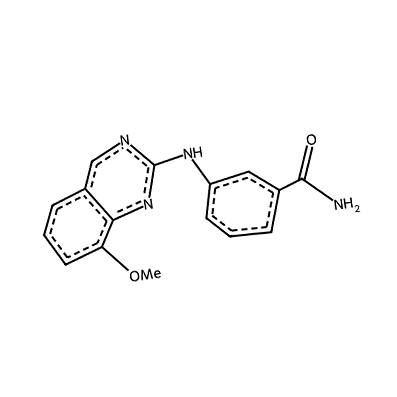 COc1cccc2cnc(Nc3cccc(C(N)=O)c3)nc12